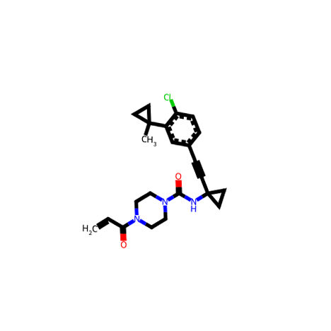 C=CC(=O)N1CCN(C(=O)NC2(C#Cc3ccc(Cl)c(C4(C)CC4)c3)CC2)CC1